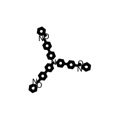 c1ccc2oc(-c3ccc(-c4ccc(N(c5ccc(-c6ccc(-c7nc8ccccc8o7)cc6)cc5)c5ccc(-c6ccc(-c7nc8ccccc8o7)cc6)cc5)cc4)cc3)nc2c1